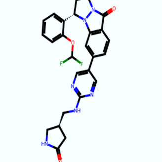 O=C1C[C@H](CNc2ncc(-c3ccc4c(=O)n5n(c4c3)[C@H](c3ccccc3OC(F)F)CC5)cn2)CN1